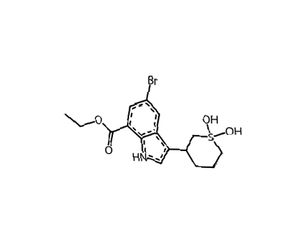 CCOC(=O)c1cc(Br)cc2c(C3CCCS(O)(O)C3)c[nH]c12